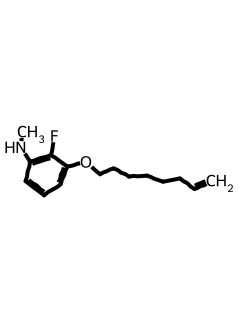 C=CCCCCCCOc1cccc(NC)c1F